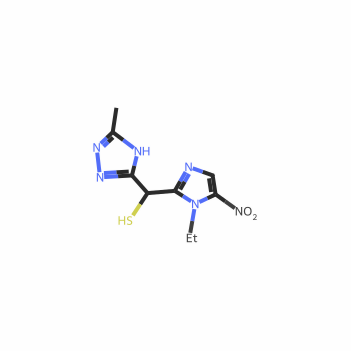 CCn1c([N+](=O)[O-])cnc1C(S)c1nnc(C)[nH]1